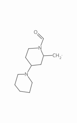 [CH2]C1CC(N2CCCCC2)CCN1C=O